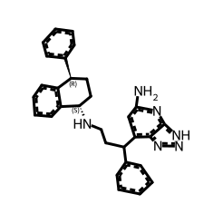 Nc1cc(C(CCN[C@H]2CC[C@H](c3ccccc3)c3ccccc32)c2ccccc2)c2nn[nH]c2n1